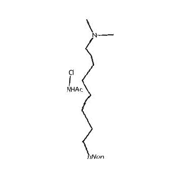 CC(=O)NCl.CCCCCCCCCCCCCCCCN(C)C